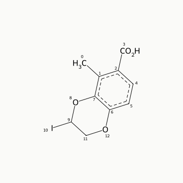 Cc1c(C(=O)O)ccc2c1OC(I)CO2